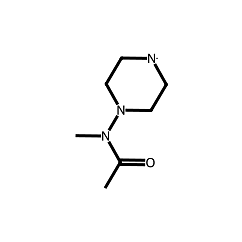 CC(=O)N(C)N1CC[N]CC1